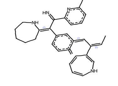 C=c1ccc(/C(C(=N)c2cccc(C)n2)=C2\CCCCCN2)c/c1=C/C(=C\C)C1=CNC=CC=C1